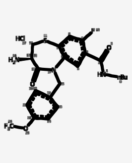 CCCCNC(=O)c1cc2c(cc1F)SC[C@H](N)C(=O)N2Cc1ccc(OC(F)(F)F)cc1.Cl